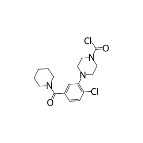 O=C(Cl)N1CCN(c2cc(C(=O)N3CCCCC3)ccc2Cl)CC1